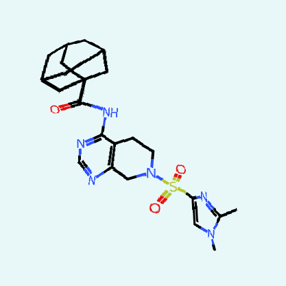 Cc1nc(S(=O)(=O)N2CCc3c(ncnc3NC(=O)C34CC5CC(CC(C5)C3)C4)C2)cn1C